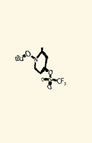 CC1CC(OS(=O)(=O)C(F)(F)F)=CCN1OC(C)(C)C